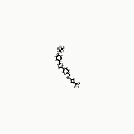 O=C(O)C1CC(NCc2ccc(-c3cnc(-c4ccc(OC(F)(F)C(F)(F)F)cc4)s3)cn2)C1